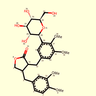 COc1ccc(CC2COC(=O)C2Cc2cc(OC)c(OC)c([C@@H]3O[C@H](CO)[C@@H](O)[C@H](O)[C@H]3O)c2)cc1OC